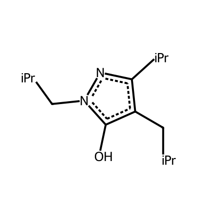 CC(C)Cc1c(C(C)C)nn(CC(C)C)c1O